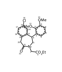 CCOC(=O)CN1CC(c2cccc(OC)c2OC)c2cc(Cl)ccc2CC1=O